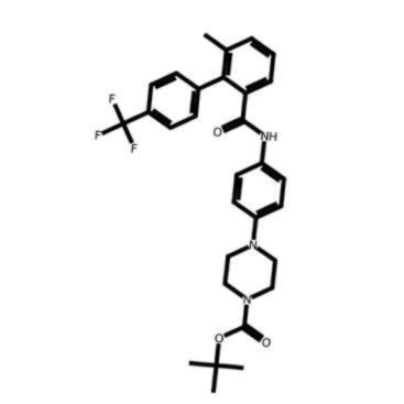 Cc1cccc(C(=O)Nc2ccc(N3CCN(C(=O)OC(C)(C)C)CC3)cc2)c1-c1ccc(C(F)(F)F)cc1